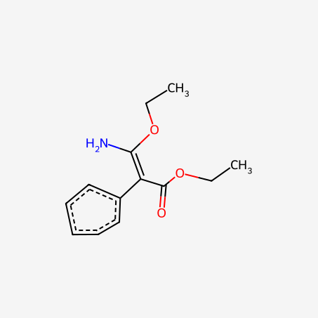 CCOC(=O)/C(=C(/N)OCC)c1ccccc1